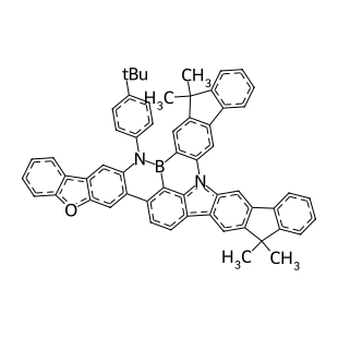 CC(C)(C)c1ccc(N2B3c4cc5c(cc4-n4c6cc7c(cc6c6ccc(c3c64)-c3cc4oc6ccccc6c4cc32)C(C)(C)c2ccccc2-7)-c2ccccc2C5(C)C)cc1